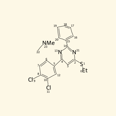 CCSc1cc(-c2ccc(Cl)c(Cl)c2)nc(-c2ccccc2)n1.CNC